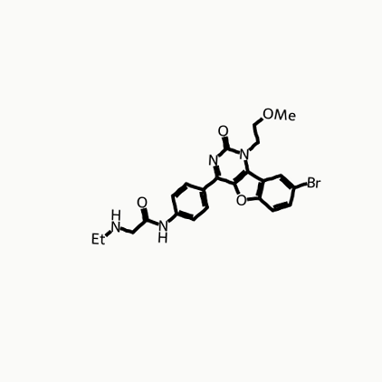 CCNCC(=O)Nc1ccc(-c2nc(=O)n(CCOC)c3c2oc2ccc(Br)cc23)cc1